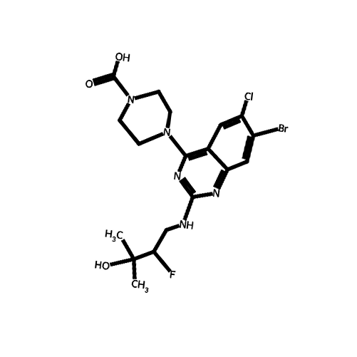 CC(C)(O)C(F)CNc1nc(N2CCN(C(=O)O)CC2)c2cc(Cl)c(Br)cc2n1